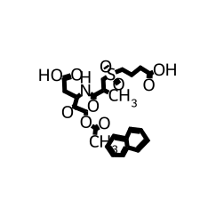 CC(=O)OCC(=O)C(CC(=O)O)NC(=O)C(C)CS(=O)(=O)CCCC(=O)O.c1ccc2ccccc2c1